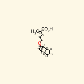 C=C(CCCOC1CC2CC1C1C=CCC21)C(=O)O